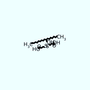 CCCCCCCCCCC(CO)CCCCCCCC.O=C(O)CCCSSCCCC(=O)O